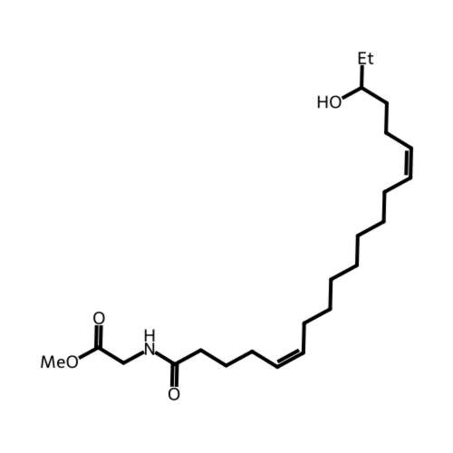 CCC(O)CC/C=C\CCCCCCC/C=C\CCCC(=O)NCC(=O)OC